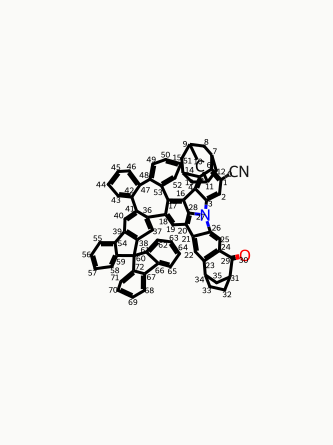 N#Cc1cc2c(c3c1C1CC4CC(C1)CC3C4)c1c3c(cc4c5cc6c(cc5n2c41)C(=O)C1CCC6C1)-c1cc2c(cc1-c1ccccc1-c1ccccc1-3)-c1ccccc1C21c2ccccc2-c2ccccc21